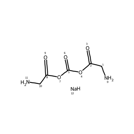 NCC(=O)OC(=O)OC(=O)CN.[NaH]